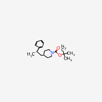 C[C@@H](CC1CCN(C(=O)OC(C)(C)C)CC1)c1ccccc1